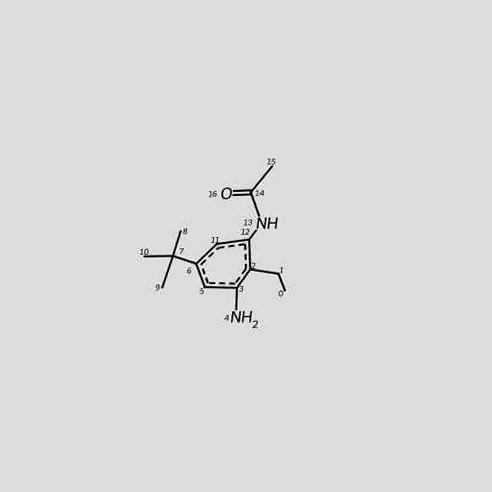 CCc1c(N)cc(C(C)(C)C)cc1NC(C)=O